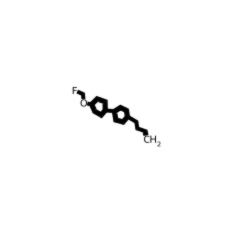 C=CCCc1ccc(-c2ccc(OCF)cc2)cc1